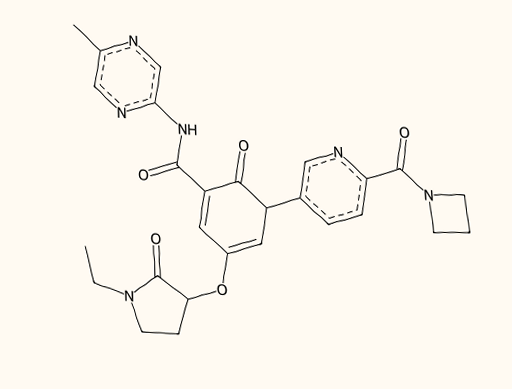 CCN1CCC(OC2=CC(c3ccc(C(=O)N4CCC4)nc3)C(=O)C(C(=O)Nc3cnc(C)cn3)=C2)C1=O